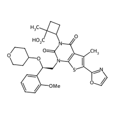 COc1ccccc1[C@H](Cn1c(=O)n(C2CCC2(C)C(=O)O)c(=O)c2c(C)c(-c3ncco3)sc21)OC1CCOCC1